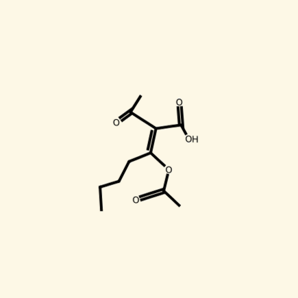 CCCC/C(OC(C)=O)=C(\C(C)=O)C(=O)O